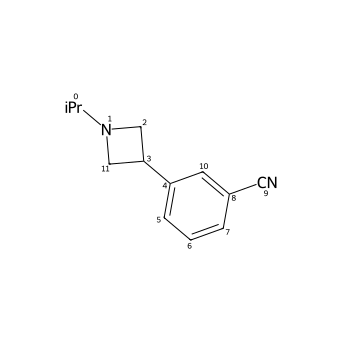 CC(C)N1CC(c2cccc(C#N)c2)C1